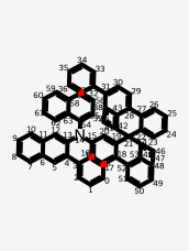 c1ccc(-c2cc3ccccc3cc2N(c2ccc3c(c2)C2(c4ccccc4-c4ccc(-c5ccccc5)c5cccc2c45)c2cccc4cccc-3c24)c2cccc3ccccc23)cc1